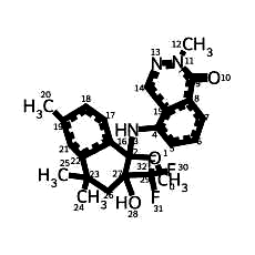 COC1(Nc2cccc3c(=O)n(C)ncc23)c2ccc(C)cc2C(C)(C)CC1(O)C(F)(F)F